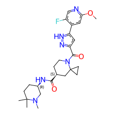 COc1cc(-c2cc(C(=O)N3CC[C@H](C(=O)N[C@@H]4CCC(C)(C)N(C)C4)CC34CC4)n[nH]2)c(F)cn1